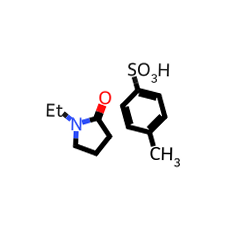 CCN1CCCC1=O.Cc1ccc(S(=O)(=O)O)cc1